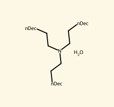 CCCCCCCCCCCCN(CCCCCCCCCCCC)CCCCCCCCCCCC.O